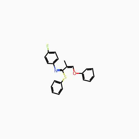 CC(=COc1ccccc1)C(=Nc1ccc(F)cc1)Sc1ccccc1